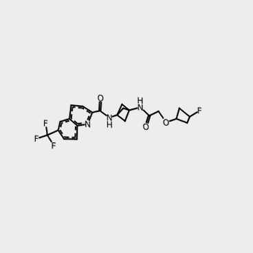 O=C(COC1CC(F)C1)NC12CC(NC(=O)c3ccc4cc(C(F)(F)F)ccc4n3)(C1)C2